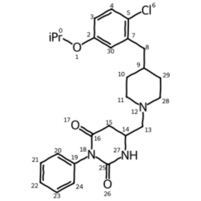 CC(C)Oc1ccc(Cl)c(CC2CCN(CC3CC(=O)N(c4ccccc4)C(=O)N3)CC2)c1